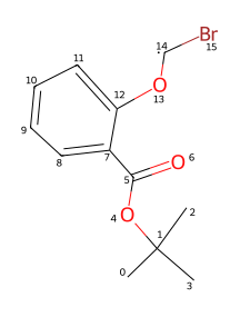 CC(C)(C)OC(=O)c1ccccc1O[CH]Br